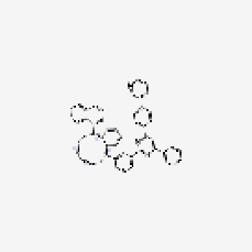 C1=C\C/C(c2cccc(-c3nc(-c4ccccc4)cc(-c4ccc(-c5cccnc5)cc4)n3)c2)=c2/cccc/c2=C(\c2cccc3ccccc23)C\C=C/1